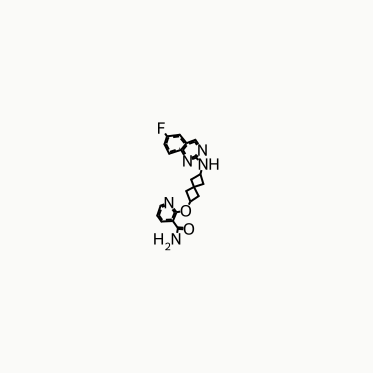 NC(=O)c1cccnc1OC1CC2(CC(Nc3ncc4cc(F)ccc4n3)C2)C1